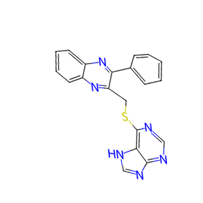 c1ccc(-c2nc3ccccc3nc2CSc2ncnc3nc[nH]c23)cc1